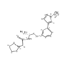 C[C@H](COc1c[c]cc(-c2cnn(C)c2)c1)NC(=O)CN1CCCC1